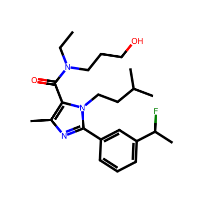 CCN(CCCO)C(=O)c1c(C)nc(-c2cccc(C(C)F)c2)n1CCC(C)C